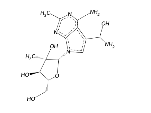 Cc1nc(N)c2c(C(N)O)cn([C@@H]3O[C@H](CO)[C@@H](O)[C@@]3(C)O)c2n1